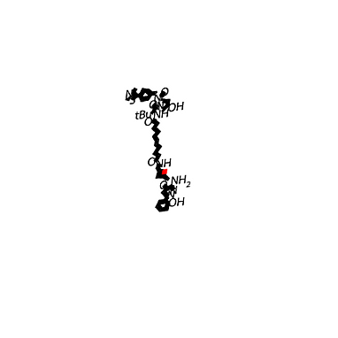 Cc1ncsc1-c1ccc(CNC(=O)[C@@H]2C[C@@H](O)CN2C(=O)[C@@H](NC(=O)CCCCCCCCCC(=O)NCC23CC(COc4cc(-c5ccccc5O)nnc4N)(C2)C3)C(C)(C)C)cc1